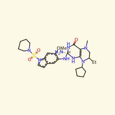 CCC1CN(C)C2=C(N[C@@](N)(Nc3cc4ccn(S(=O)(=O)N5CCCCC5)c4cc3OC)NC2=O)N1C1CCCC1